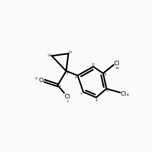 O=C(Cl)C1(c2ccc(Cl)c(Cl)c2)CC1